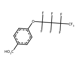 O=C(O)c1ccc(OC(F)(F)C(F)(F)C(F)(F)C(F)(F)F)cc1